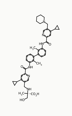 Cc1c(NC(=O)c2cc(C3CC3)c(CN[C@](C)(CO)C(=O)O)cn2)cccc1-c1cccc(NC(=O)c2cc(C3CC3)c(CN3CCCCC3)cn2)c1C